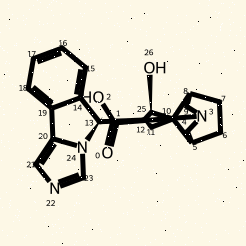 O=C(O)N1CC2CCC(C1)C21C[C@@H]([C@@H]2c3ccccc3-c3cncn32)[C@H]1O